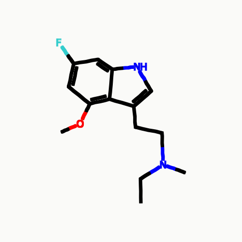 CCN(C)CCc1c[nH]c2cc(F)cc(OC)c12